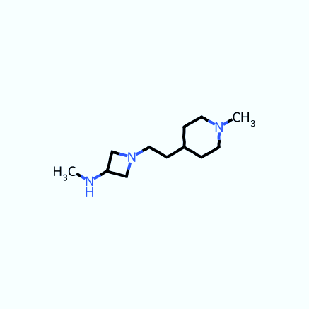 CNC1CN(CCC2CCN(C)CC2)C1